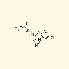 CN(C)[C@@H]1CCN(c2nc3ncc(Cl)cc3n3cnnc23)C1